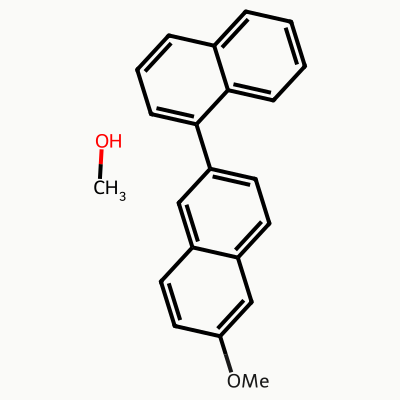 CO.COc1ccc2cc(-c3cccc4ccccc34)ccc2c1